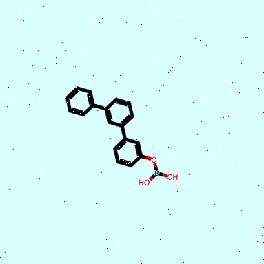 OB(O)Oc1cccc(-c2cccc(-c3ccccc3)c2)c1